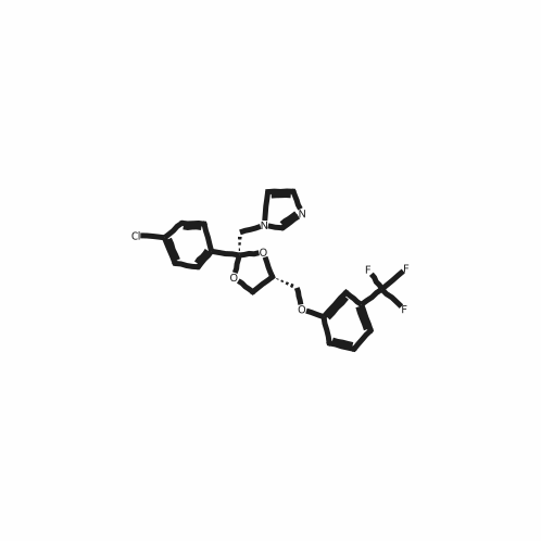 FC(F)(F)c1cccc(OC[C@@H]2CO[C@@](Cn3ccnc3)(c3ccc(Cl)cc3)O2)c1